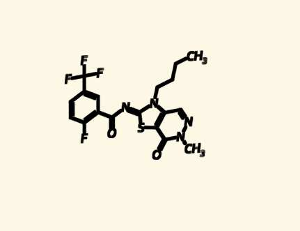 CCCCn1/c(=N/C(=O)c2cc(C(F)(F)F)ccc2F)sc2c(=O)n(C)ncc21